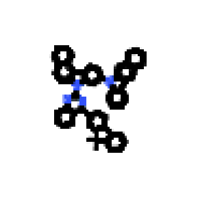 CC1(C)c2ccccc2-c2ccc(-c3nc(-n4c5cc(-n6c7ccccc7c7cc8ccccc8cc76)ccc5c5c6ccccc6ccc54)nc4ccccc34)cc21